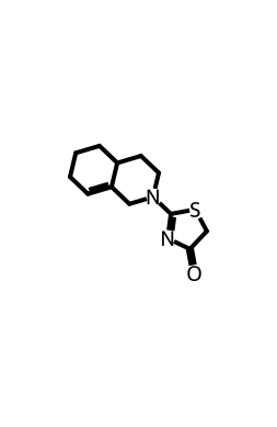 O=C1CSC(N2CCC3CCCC=C3C2)=N1